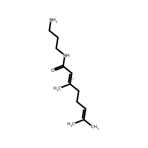 CC(C)=CCC/C(C)=C/C(=O)NCCCN